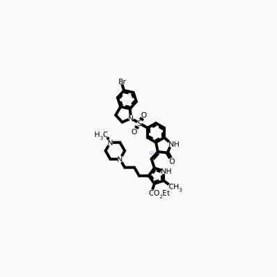 CCOC(=O)c1c(C)[nH]c(/C=C2\C(=O)Nc3ccc(S(=O)(=O)N4CCc5cc(Br)ccc54)cc32)c1CCCN1CCN(C)CC1